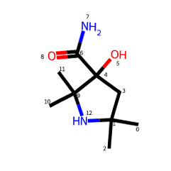 CC1(C)CC(O)(C(N)=O)C(C)(C)N1